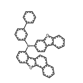 c1ccc(-c2cccc(N(c3ccc4c(c3)oc3ccccc34)c3cccc4oc5c6ccccc6ccc5c34)c2)cc1